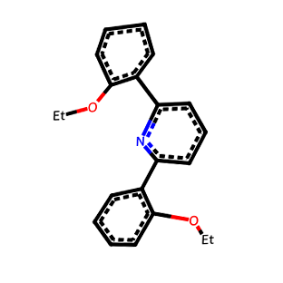 CCOc1ccccc1-c1cccc(-c2ccccc2OCC)n1